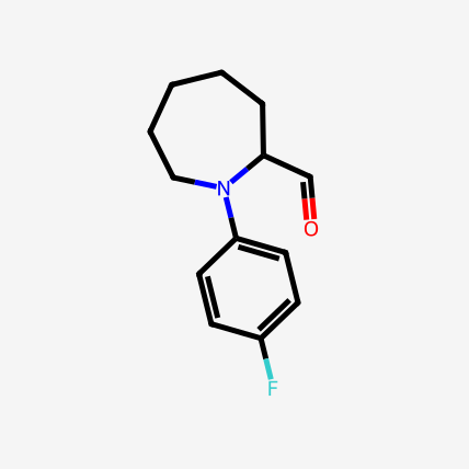 O=CC1CCCCCN1c1ccc(F)cc1